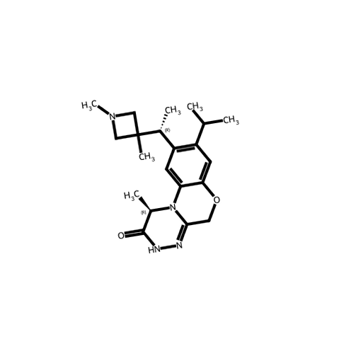 CC(C)c1cc2c(cc1[C@@H](C)C1(C)CN(C)C1)N1C(=NNC(=O)[C@H]1C)CO2